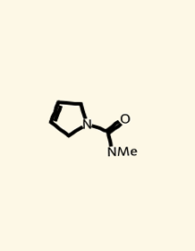 CNC(=O)N1CC=CC1